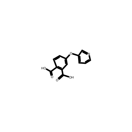 O=C(O)c1ccc(Oc2cccnc2)cc1C(=O)O